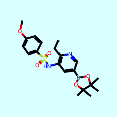 CCc1ncc(B2OC(C)(C)C(C)(C)O2)cc1NS(=O)(=O)c1ccc(OC)cc1